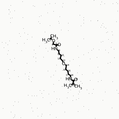 CC(C)OCC(=O)NCCCCCOCCCCCNC(=O)C(C)C